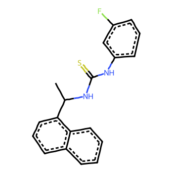 CC(NC(=S)Nc1cccc(F)c1)c1cccc2ccccc12